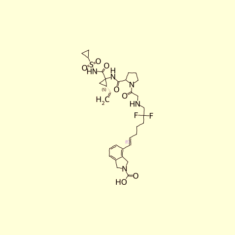 C=C[C@@H]1CC1(NC(=O)C1CCCN1C(=O)CNCC(F)(F)CCC/C=C/c1cccc2c1CN(C(=O)O)C2)C(=O)NS(=O)(=O)C1CC1